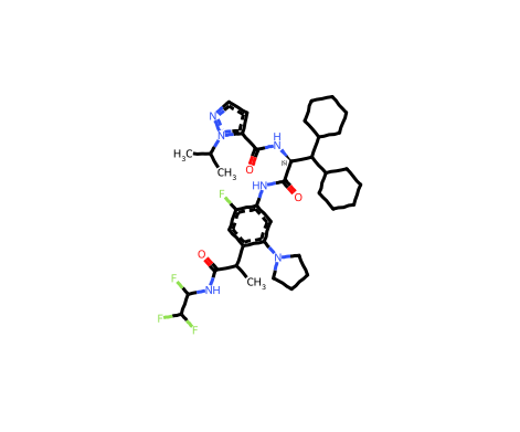 CC(C(=O)NC(F)C(F)F)c1cc(F)c(NC(=O)[C@@H](NC(=O)c2ccnn2C(C)C)C(C2CCCCC2)C2CCCCC2)cc1N1CCCC1